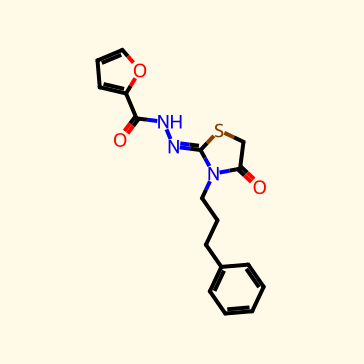 O=C(NN=C1SCC(=O)N1CCCc1ccccc1)c1ccco1